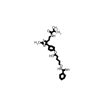 Cc1nc(-c2ccc(OC(O)CCCCONC(=N)c3ccccc3)cc2)c(CCNC(=O)C(C)C)s1